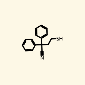 N#CC(CCS)(c1ccccc1)c1ccccc1